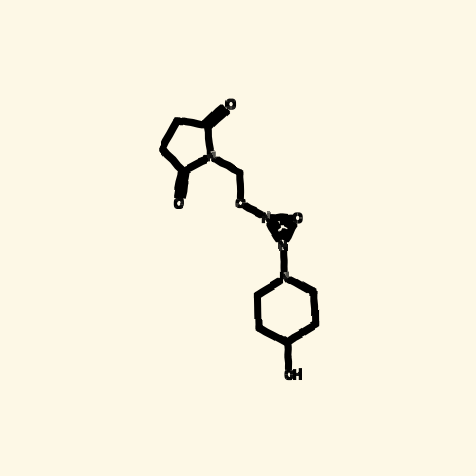 O=C1CCC(=O)N1COn1on1N1CCC(O)CC1